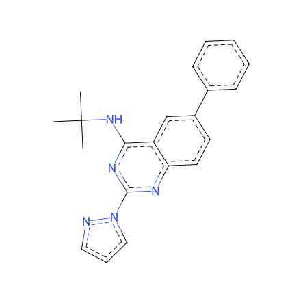 CC(C)(C)Nc1nc(-n2cccn2)nc2ccc(-c3ccccc3)cc12